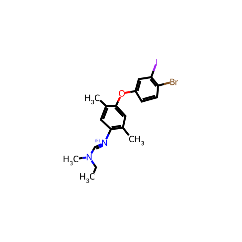 CCN(C)/C=N/c1cc(C)c(Oc2ccc(Br)c(I)c2)cc1C